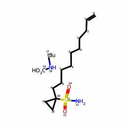 C=CCCCCCCCCC1(S(N)(=O)=O)CC1.CC(C)(C)NC(=O)O